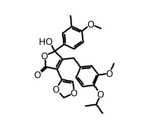 COc1ccc(C2(O)OC(=O)C(C3=COCO3)=C2Cc2ccc(OC(C)C)c(OC)c2)cc1C